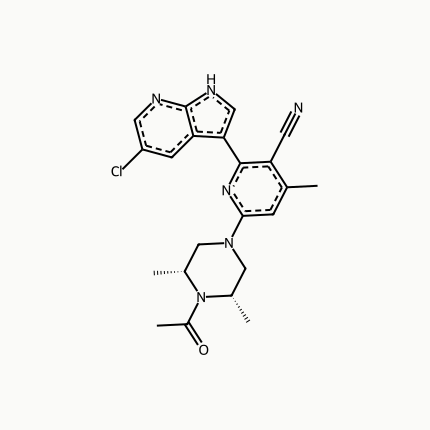 CC(=O)N1[C@H](C)CN(c2cc(C)c(C#N)c(-c3c[nH]c4ncc(Cl)cc34)n2)C[C@@H]1C